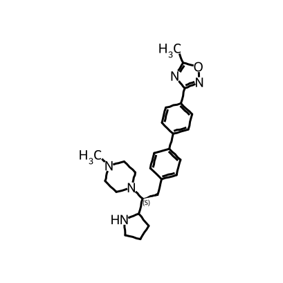 Cc1nc(-c2ccc(-c3ccc(C[C@@H](C4CCCN4)N4CCN(C)CC4)cc3)cc2)no1